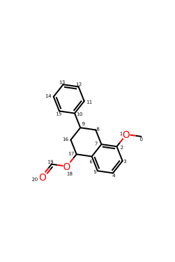 COc1cccc2c1CC(c1ccccc1)CC2OC=O